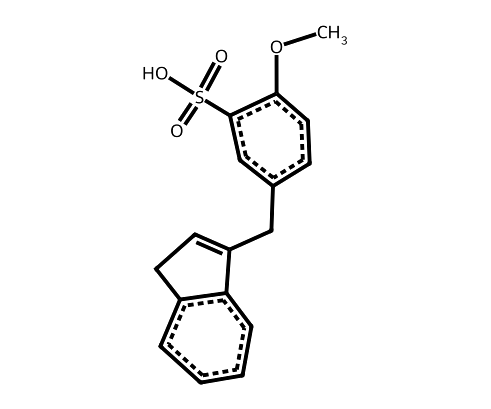 COc1ccc(CC2=CCc3ccccc32)cc1S(=O)(=O)O